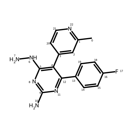 Cc1cc(-c2c(NN)nc(N)nc2-c2ccc(F)cc2)ccn1